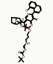 CC(C)(C)OC(=O)N=CNCCCOc1nc(N2CC3CCC(C2)N3C(=O)OC(C)(C)C)c2cnc(-c3cccc4cccc(Cl)c34)c(F)c2n1